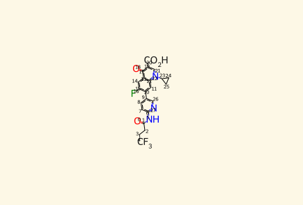 O=C(CCC(F)(F)F)Nc1ccc(-c2cc3c(cc2F)c(=O)c(C(=O)O)cn3C2CC2)cn1